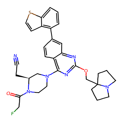 N#CC[C@H]1CN(c2nc(OCC34CCCN3CCC4)nc3cc(-c4cccc5sccc45)ccc23)CCN1C(=O)CF